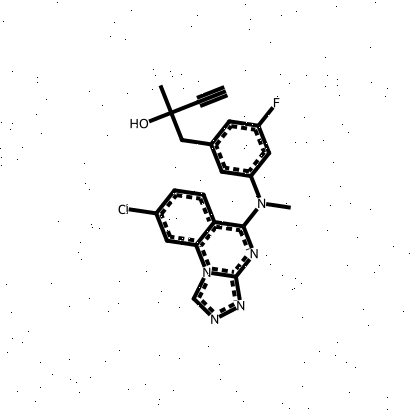 C#CC(C)(O)Cc1cc(F)cc(N(C)c2nc3nncn3c3cc(Cl)ccc23)c1